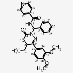 CCC1SC(=O)N(C(NC(=O)c2ccncc2)c2ccccc2)N=C1c1ccc(OC)c(OC)c1